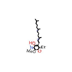 CC[C@@H]1C(=O)C(OC)=C(N(C)C)[C@@H](O)[C@H]1C/C=C(\C)CC/C=C(\C)CCC=C(C)C